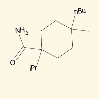 CCCCC1(C)CCC(C(N)=O)(C(C)C)CC1